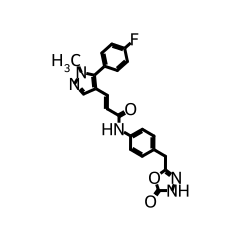 Cn1ncc(C=CC(=O)Nc2ccc(Cc3n[nH]c(=O)o3)cc2)c1-c1ccc(F)cc1